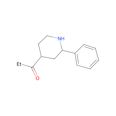 CCC(=O)C1CCNC(c2ccccc2)C1